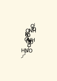 CCCCCCNC(=O)c1ccc(S(=O)(=O)NC(=O)c2ccc(C(=O)NCC(=O)OCC)nc2)cc1